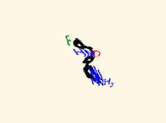 CC(C(=O)Nc1ccc(-c2ccc3nc(N)nn3c2)cc1)c1ccc(F)cc1